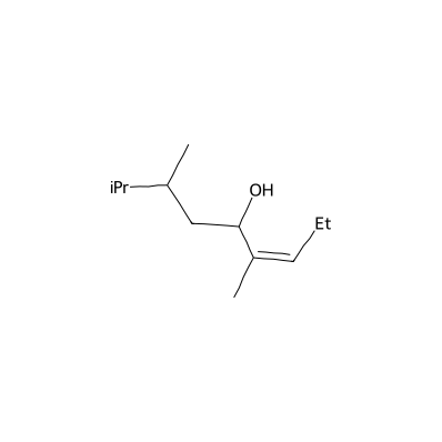 CCC=C(C)C(O)CC(C)C(C)C